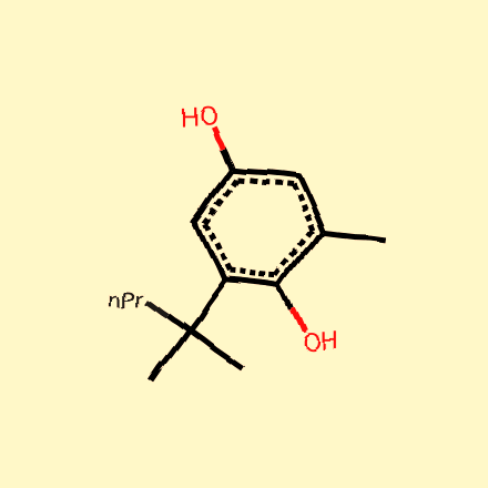 CCCC(C)(C)c1cc(O)cc(C)c1O